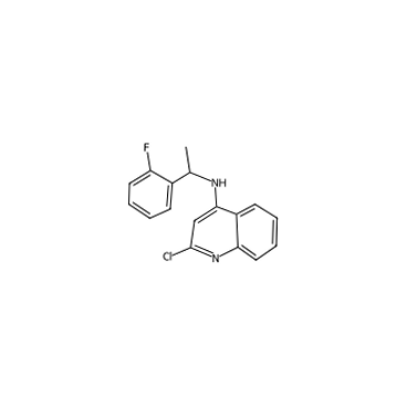 CC(Nc1cc(Cl)nc2ccccc12)c1ccccc1F